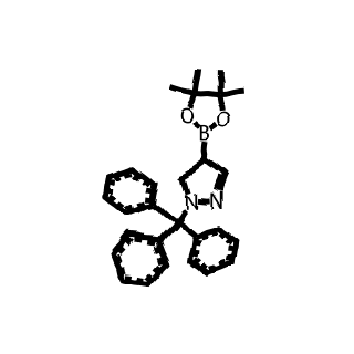 CC1(C)OB(C2C=NN(C(c3ccccc3)(c3ccccc3)c3ccccc3)C2)OC1(C)C